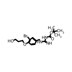 CC(C)(C)OC(=O)NC(=N)NCc1ccc(OCCCO)c(Br)c1